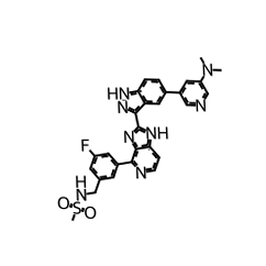 CN(C)c1cncc(-c2ccc3[nH]nc(-c4nc5c(-c6cc(F)cc(CNS(C)(=O)=O)c6)nccc5[nH]4)c3c2)c1